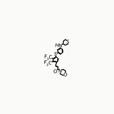 O=C(/C=C/c1ccc(Sc2cccc(NC3CCSCC3)c2)c(C(F)(F)F)c1C(F)(F)F)N1CCOCC1